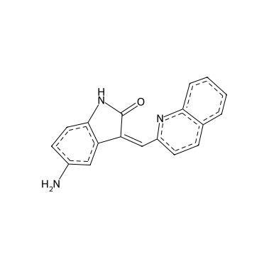 Nc1ccc2c(c1)C(=Cc1ccc3ccccc3n1)C(=O)N2